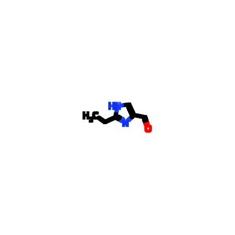 CCc1nc(C=O)c[nH]1